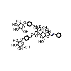 CC(C)C[C@](CC(=O)OCc1ccc(O[C@@H]2O[C@H](CO)[C@@H](O)[C@H](O)[C@H]2O)cc1)(O[C@@H]1O[C@H](CO)[C@@H](OC(=O)/C=C/c2ccccc2)[C@H](O)[C@H]1O)C(=O)OCc1ccc(O[C@@H]2O[C@H](CO)[C@@H](O)[C@H](O)[C@H]2O)cc1